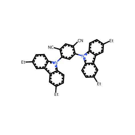 CCc1ccc2c(c1)c1cc(CC)ccc1n2-c1cc(-n2c3ccc(CC)cc3c3cc(CC)ccc32)c(C#N)cc1C#N